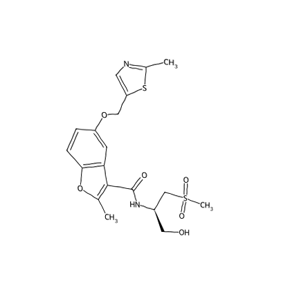 Cc1ncc(COc2ccc3oc(C)c(C(=O)N[C@H](CO)CS(C)(=O)=O)c3c2)s1